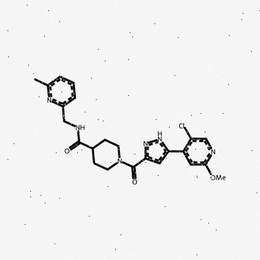 COc1cc(-c2cc(C(=O)N3CCC(C(=O)NCc4cccc(C)n4)CC3)n[nH]2)c(Cl)cn1